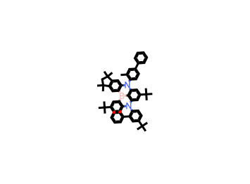 Cc1cc(-c2ccccc2)ccc1N1c2cc3c(cc2B2c4cc(C(C)(C)C)ccc4N(c4ccc(C(C)(C)C)cc4-c4ccccc4)c4cc(C(C)(C)C)cc1c42)C(C)(C)CC3(C)C